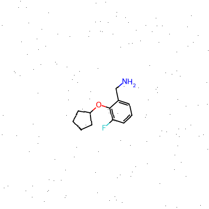 NCc1cccc(F)c1OC1CCCC1